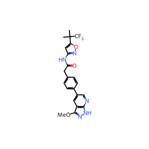 COc1n[nH]c2ncc(-c3ccc(CC(=O)Nc4cc(C(C)(C)C(F)(F)F)on4)cc3)cc12